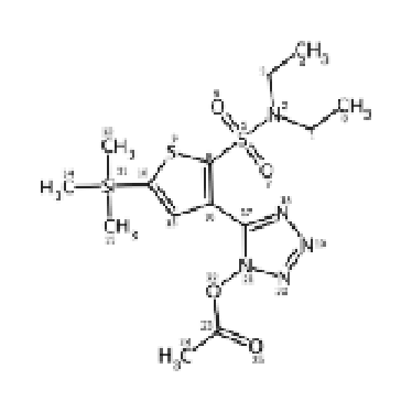 CCN(CC)S(=O)(=O)c1sc([Si](C)(C)C)cc1-c1nnnn1OC(C)=O